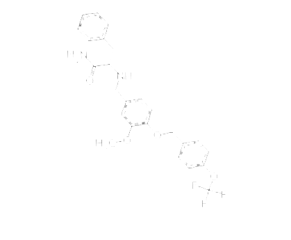 COc1cc(CN[C@@H](Cc2ccccc2)C(N)=O)ccc1OCc1ccc(OC(F)(F)F)cc1